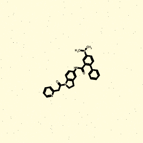 CN(C)c1ccc(-c2ccccc2)c(C(=O)Nc2ccc3c(c2)CCN3C(=O)Cc2ccccn2)c1